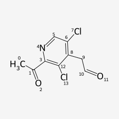 CC(=O)c1ncc(Cl)c(CC=O)c1Cl